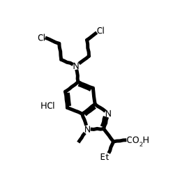 CCC(C(=O)O)c1nc2cc(N(CCCl)CCCl)ccc2n1C.Cl